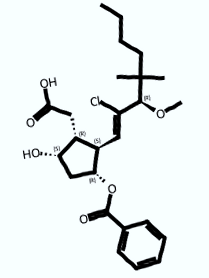 CCCCC(C)(C)[C@@H](OC)C(Cl)=C[C@@H]1[C@@H](CC(=O)O)[C@@H](O)C[C@H]1OC(=O)c1ccccc1